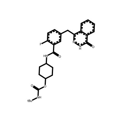 CC(C)(C)NC(=O)OC1CCC(NC(=O)c2cc(Cc3n[nH]c(=O)c4ccccc34)ccc2F)CC1